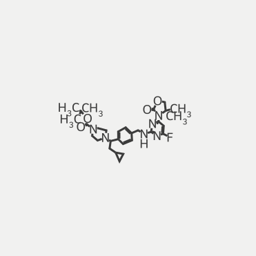 CC(C)(C)OC(=O)N1CCN(C(CC2CC2)c2ccc(CNc3nc(F)cc(N4C(=O)OCC4(C)C)n3)cc2)CC1